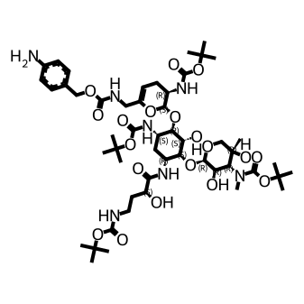 CN(C(=O)OC(C)(C)C)[C@@H]1[C@@H](O)[C@@H](O[C@@H]2[C@@H](O)[C@H](O[C@H]3OC(CNC(=O)OCc4ccc(N)cc4)=CC[C@H]3NC(=O)OC(C)(C)C)[C@@H](NC(=O)OC(C)(C)C)C[C@H]2NC(=O)[C@@H](O)CCNC(=O)OC(C)(C)C)OC[C@]1(C)O